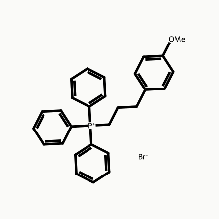 COc1ccc(CCC[P+](c2ccccc2)(c2ccccc2)c2ccccc2)cc1.[Br-]